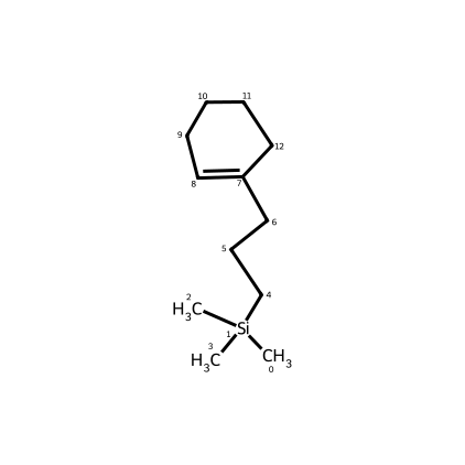 C[Si](C)(C)CCCC1=CCCCC1